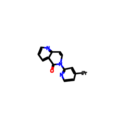 CC(C)c1ccnc(-n2ccc3ncccc3c2=O)c1